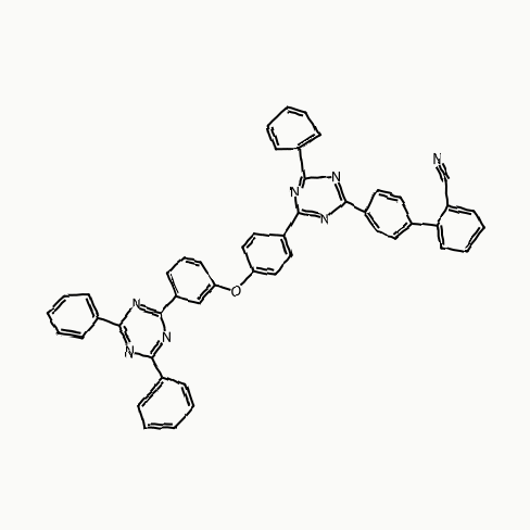 N#Cc1ccccc1-c1ccc(-c2nc(-c3ccccc3)nc(-c3ccc(Oc4cccc(-c5nc(-c6ccccc6)nc(-c6ccccc6)n5)c4)cc3)n2)cc1